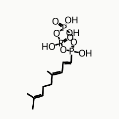 CC(C)=CCC/C(C)=C/C=C/P(=O)(O)OP(=O)(O)OP(=O)(O)O